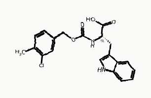 Cc1ccc(COC(=O)N[C@@H](Cc2c[nH]c3ccccc23)C(=O)O)cc1Cl